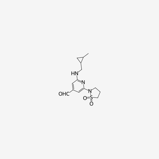 CC1CC1CNc1cc(C=O)cc(N2CCCS2(=O)=O)n1